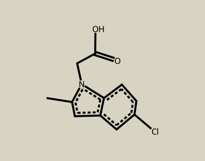 Cc1cc2cc(Cl)ccc2n1CC(=O)O